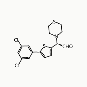 O=C[C@@H](c1ccc(-c2cc(Cl)cc(Cl)c2)s1)N1CCSCC1